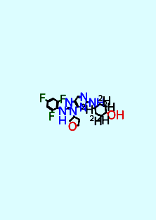 [2H]C1(Nc2ncc3nc(Nc4c(F)cc(F)cc4F)n(C4CCOC4)c3n2)CC([2H])([2H])C(O)C([2H])([2H])C1